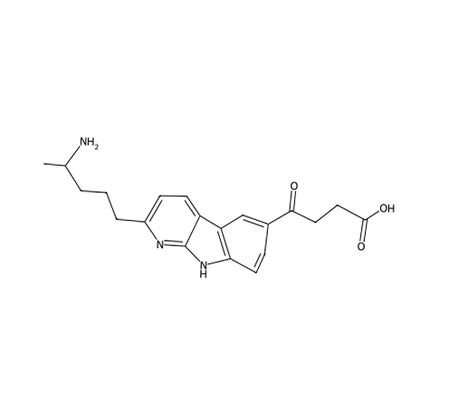 CC(N)CCCc1ccc2c(n1)[nH]c1ccc(C(=O)CCC(=O)O)cc12